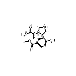 COC(=O)c1ccc(O)cc1.NC(=O)NN1CCNC1